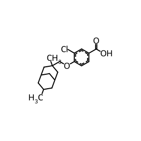 CC1CC2CC(C1)CC(C)(COc1ccc(C(=O)O)cc1Cl)C2